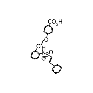 O=C(O)c1ccc(OCCOc2ccccc2NS(=O)(=O)C=Cc2ccccc2)cc1